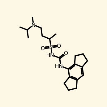 CC(C)N(C)CCC(C)S(=O)(=O)NC(=O)Nc1c2c(cc3c1CCC3)CCC2